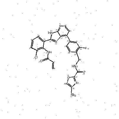 C=CC(=O)Nc1c(Cl)cccc1-c1nc2c(-c3ccc(CNC(=O)c4nc(C(C)(C)C)no4)c(F)c3)ccnc2[nH]1